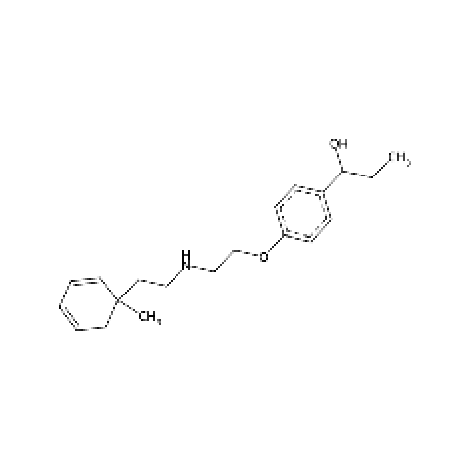 CCC(O)c1ccc(OCCNCCC2(C)C=CC=CC2)cc1